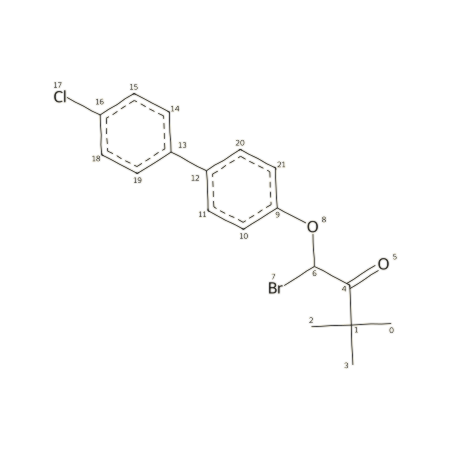 CC(C)(C)C(=O)C(Br)Oc1ccc(-c2ccc(Cl)cc2)cc1